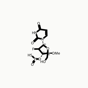 CO[C@]1(CO)O[C@@H](n2ccc(=O)[nH]c2=O)C(F)[C@H]1O[PH](=O)S